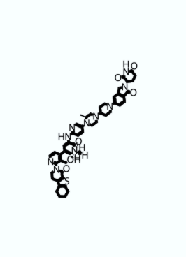 [2H]C([2H])([2H])n1cc(-c2ccnc(N3CCc4c(sc5c4CCCC5)C3=O)c2CO)cc(Nc2ccc(N3CCN(C4CCN(c5ccc6c(c5)CN([C@H]5CCC(=O)NC5=O)C6=O)CC4)C[C@@H]3C)cn2)c1=O